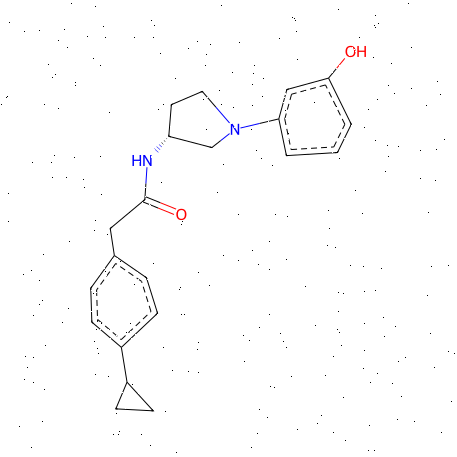 O=C(Cc1ccc(C2CC2)cc1)N[C@@H]1CCN(c2cccc(O)c2)C1